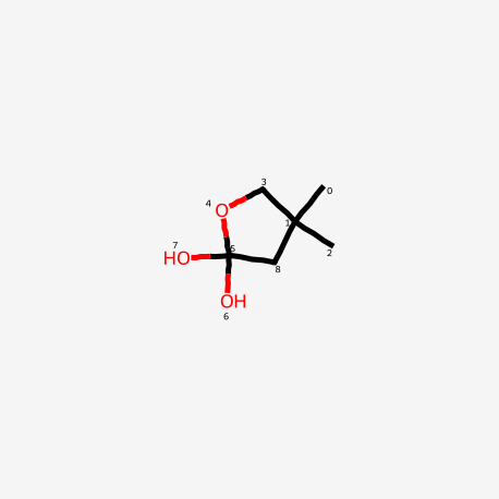 CC1(C)COC(O)(O)C1